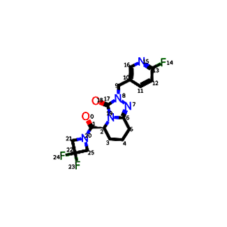 O=C([C@@H]1CCCc2nn(Cc3ccc(F)nc3)c(=O)n21)N1CC(F)(F)C1